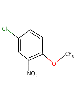 O=[N+]([O-])c1cc(Cl)ccc1OC(F)(F)F